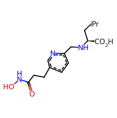 CC(C)C[C@H](NCc1ccc(CCC(=O)NO)cn1)C(=O)O